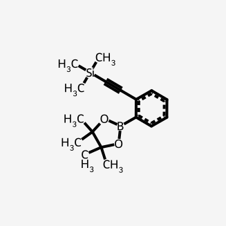 CC1(C)OB(c2ccccc2C#C[Si](C)(C)C)OC1(C)C